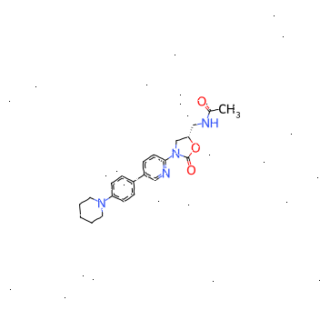 CC(=O)NC[C@H]1CN(c2ccc(-c3ccc(N4CCCCC4)cc3)cn2)C(=O)O1